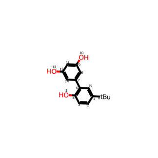 CC(C)(C)c1ccc(O)c(-c2cc(O)cc(O)c2)c1